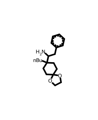 CCCCC1(C(N)Cc2ccccc2)CCC2(CC1)OCCO2